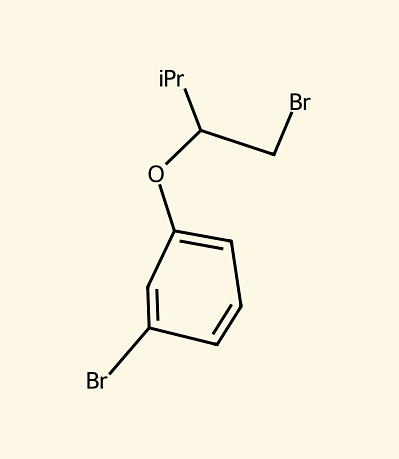 CC(C)C(CBr)Oc1cccc(Br)c1